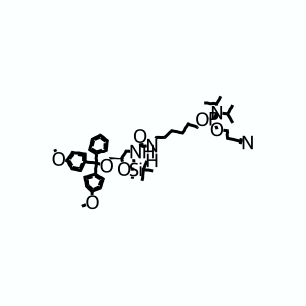 COc1ccc(C(OC[C@@H](CNC(=O)NCCCCCCOP(OCCC#N)N(C(C)C)C(C)C)O[Si](C)(C)C(C)(C)C)(c2ccccc2)c2ccc(OC)cc2)cc1